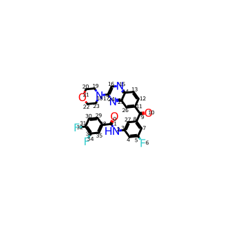 O=C(Nc1cc(F)cc(C(=O)c2ccc3ncc(N4CCOCC4)nc3c2)c1)c1ccc(F)c(F)c1